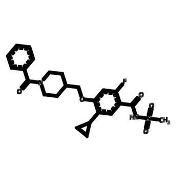 CS(=O)(=O)NC(=O)c1cc(C2CC2)c(OCC2CCN(C(=O)c3ccccc3)CC2)cc1F